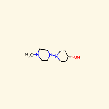 CN1CCN(N2CCC(O)CC2)CC1